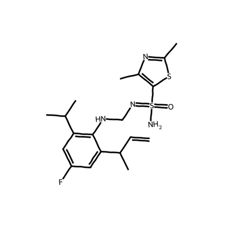 C=CC(C)c1cc(F)cc(C(C)C)c1NCN=S(N)(=O)c1sc(C)nc1C